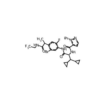 CC(C(=O)NCC(F)(F)F)c1cc(F)c(NC(=O)[C@@H](NC(=O)c2ccnn2C(C)C)C(C2CC2)C2CC2)cc1Br